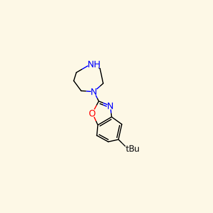 CC(C)(C)c1ccc2oc(N3CCCNCC3)nc2c1